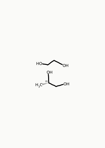 C[C@H](O)CO.OCCO